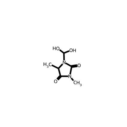 CC1C(=O)N(C)C(=O)N1C(O)O